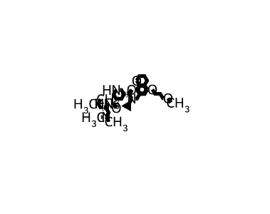 COCCCOc1cc(CN(C(=O)[C@H]2CNC[C@@H](C(=O)N[C@H](CC(C)C)CN(C)C)C2)C2CC2)cc2c1CCCO2